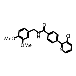 COc1ccc(CNC(=O)c2ccc(-c3ncccc3Cl)cc2)cc1OC